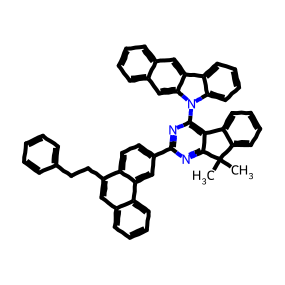 CC1(C)c2ccccc2-c2c(-n3c4ccccc4c4cc5ccccc5cc43)nc(-c3ccc4c(CCc5ccccc5)cc5ccccc5c4c3)nc21